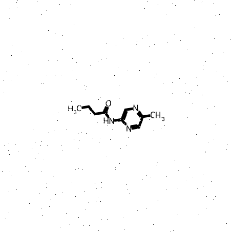 CCCC(=O)Nc1cnc(C)cn1